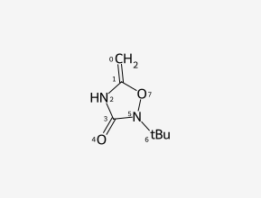 C=C1NC(=O)N(C(C)(C)C)O1